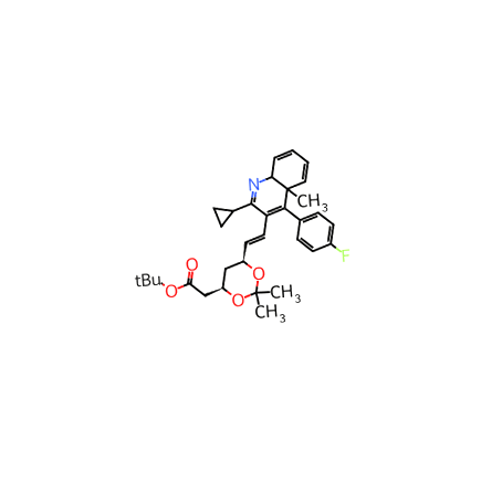 CC(C)(C)OC(=O)C[C@H]1C[C@@H](/C=C/C2=C(c3ccc(F)cc3)C3(C)C=CC=CC3N=C2C2CC2)OC(C)(C)O1